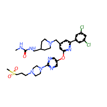 CNC(=O)NCC1CCN(Cc2cc(Oc3cnc(N4CCN(CCCS(C)(=O)=O)CC4)nc3)nc(-c3cc(Cl)cc(Cl)c3)c2)CC1